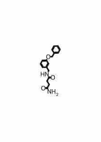 NC(=O)CCC(=O)NCc1cccc(OCc2ccccc2)c1